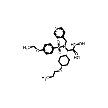 CCCO[C@H]1CC[C@H](C(C(=O)NO)N(Cc2ccncc2)S(=O)(=O)c2ccc(OCC)cc2)CC1.Cl